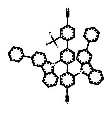 N#Cc1ccc(-c2ccc(-c3ccc(C#N)cc3C(F)(F)F)cc2-n2c3ccccc3c3cc(-c4ccccc4)ccc32)c(-n2c3ccccc3c3cc(-c4ccccc4)ccc32)c1